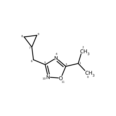 CC(C)c1nc(CC2CC2)no1